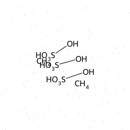 C.C.O=S(=O)(O)O.O=S(=O)(O)O.O=S(=O)(O)O